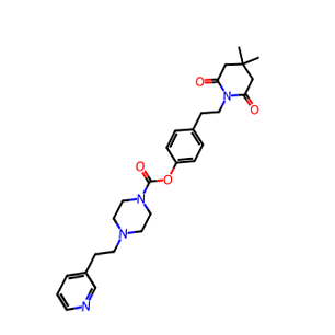 CC1(C)CC(=O)N(CCc2ccc(OC(=O)N3CCN(CCc4cccnc4)CC3)cc2)C(=O)C1